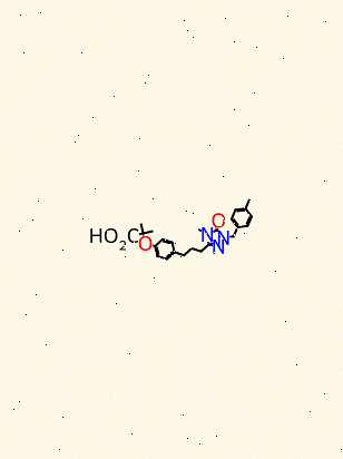 Cc1ccc(Cn2nc(CCCc3ccc(OC(C)(C)C(=O)O)cc3)n(C)c2=O)cc1